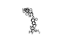 COC[C@@H](CCCn1ccc2cc(-c3ncc(C(F)F)c(N)n3)c(F)cc2c1=O)Nc1cn[nH]c(=O)c1C(F)(F)F